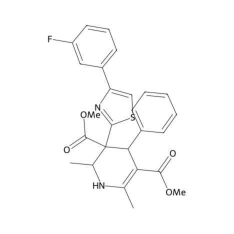 COC(=O)C1=C(C)NC(C)C(C(=O)OC)(c2nc(-c3cccc(F)c3)cs2)C1c1ccccc1